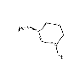 CCCC(C)[C@H]1CCCN(CC)C1